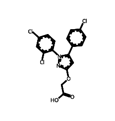 O=C(O)COc1cc(-c2ccc(Cl)cc2)n(-c2ccc(Cl)cc2Cl)n1